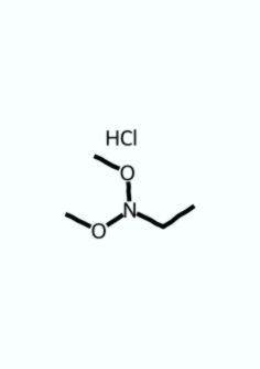 CCN(OC)OC.Cl